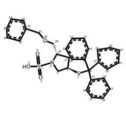 O=S(=O)(O)N1C[C@H](SC(c2ccccc2)(c2ccccc2)c2ccccc2)C[C@H]1COCc1ccccc1